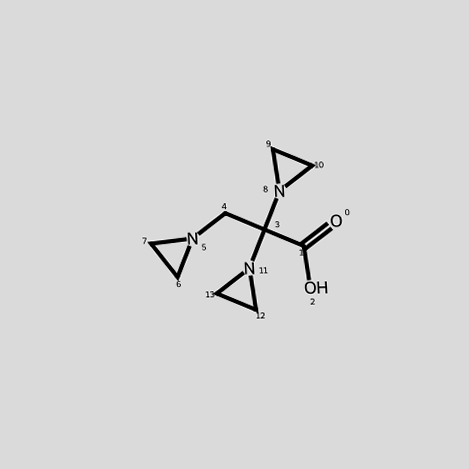 O=C(O)C(CN1CC1)(N1CC1)N1CC1